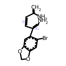 C=C(N)/C=C\C(=C/N)c1cc2c(cc1Br)OCO2